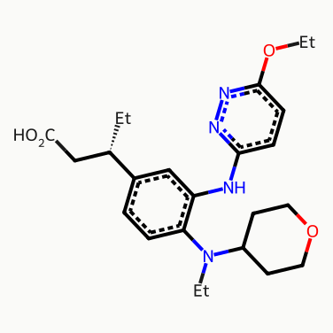 CCOc1ccc(Nc2cc([C@@H](CC)CC(=O)O)ccc2N(CC)C2CCOCC2)nn1